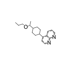 CCCOC(C)C1CCC(c2ccnc3ncccc23)CC1